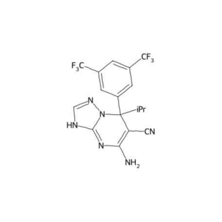 CC(C)C1(c2cc(C(F)(F)F)cc(C(F)(F)F)c2)C(C#N)=C(N)N=C2NC=NN21